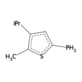 Cc1sc(P)cc1C(C)C